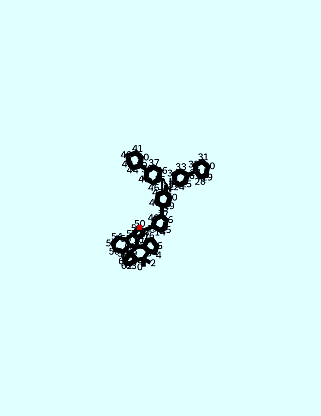 CC1(C)c2ccccc2C2(c3cc(-c4cccc(-c5ccc(N(c6ccc(-c7ccccc7)cc6)c6ccc(-c7ccccc7)cc6)cc5)c4)ccc3C3C=CC=CC32)c2ccccc21